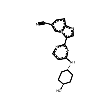 N#Cc1ccc2ncc(-c3nccc(N[C@H]4CC[C@H](O)CC4)n3)n2c1